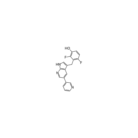 Oc1ccc(F)c(Cc2c[nH]c3ncc(-c4cccnc4)cc23)c1F